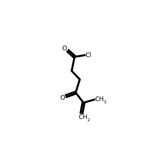 C=C(C)C(=O)CCC(=O)Cl